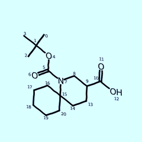 CC(C)(C)OC(=O)N1CC(C(=O)O)CCC12CCCCC2